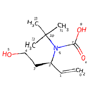 C=C[C@@H](CCO)N(C(=O)O)C(C)(C)C